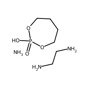 N.NCCN.O=P1(O)OCCCCO1